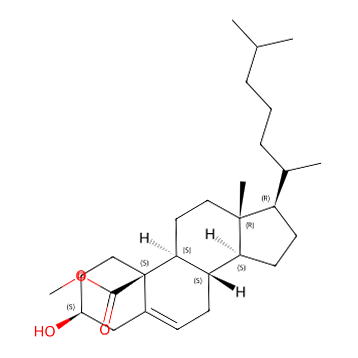 COC(=O)[C@]12CC[C@H](O)CC1=CC[C@@H]1[C@@H]2CC[C@]2(C)[C@@H](C(C)CCCC(C)C)CC[C@@H]12